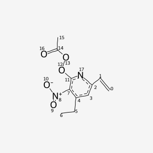 C=Cc1cc(CC)c([N+](=O)[O-])c(OOC(C)=O)n1